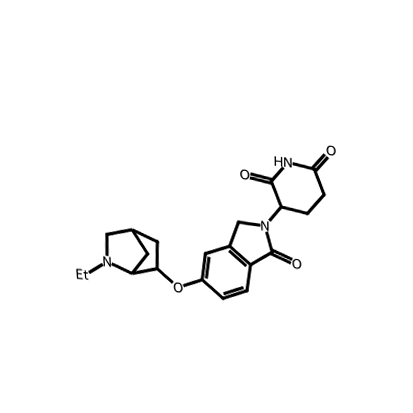 CCN1CC2CC(Oc3ccc4c(c3)CN(C3CCC(=O)NC3=O)C4=O)C1C2